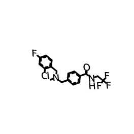 CN(Cc1ccc(C(=O)NCC(F)(F)F)cc1)Cc1ccc(F)cc1Cl